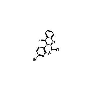 CC(Cl)c1nc2ccccc2c(=O)n1-c1ccc(Br)cc1